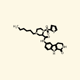 CCCCCCN1CCN(S(=O)(=O)c2cccs2)C(C(=O)Nc2ccc3[nH]c4c(c3c2)CCNC4=O)C1